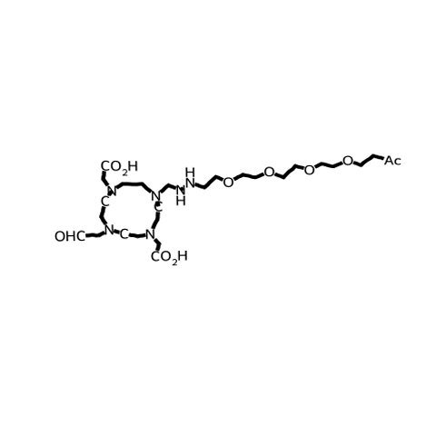 CC(=O)CCOCCOCCOCCOCCNNCN1CCN(CC(=O)O)CCN(CC=O)CCN(CC(=O)O)CC1